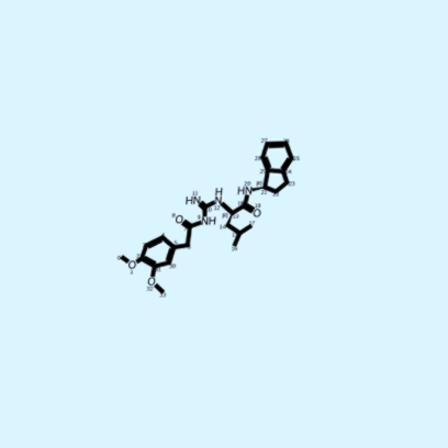 COc1ccc(CC(=O)NC(=N)N[C@H](CC(C)C)C(=O)N[C@@H]2CCc3ccccc32)cc1OC